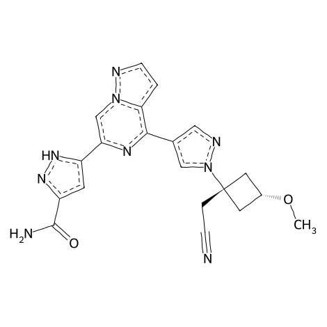 CO[C@H]1C[C@@](CC#N)(n2cc(-c3nc(-c4cc(C(N)=O)n[nH]4)cn4nccc34)cn2)C1